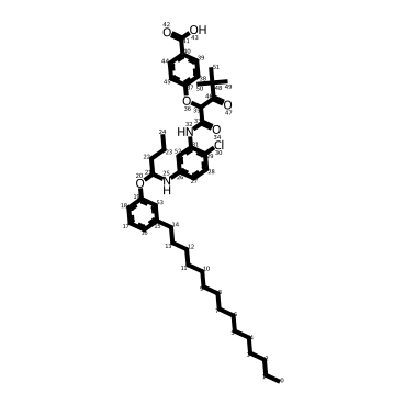 CCCCCCCCCCCCCCCc1cccc(OC(CCC)Nc2ccc(Cl)c(NC(=O)C(Oc3ccc(C(=O)O)cc3)C(=O)C(C)(C)C)c2)c1